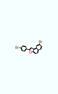 Brc1ccc(-c2cc3c(ccc4ccc(Br)cc43)o2)cc1